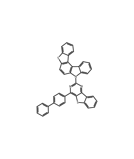 c1ccc(-c2ccc(-c3nc(-n4c5ccccc5c5c6c(ccc54)sc4ccccc46)nc4c3sc3ccccc34)cc2)cc1